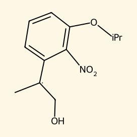 C[C](CO)c1cccc(OC(C)C)c1[N+](=O)[O-]